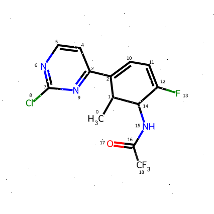 CC1C(c2ccnc(Cl)n2)=CC=C(F)C1NC(=O)C(F)(F)F